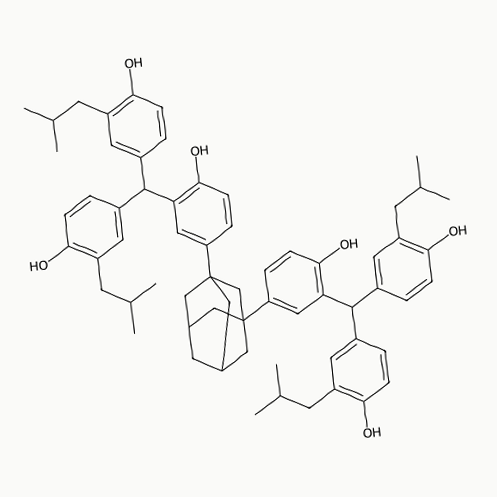 CC(C)Cc1cc(C(c2ccc(O)c(CC(C)C)c2)c2cc(C34CC5CC(C3)CC(c3ccc(O)c(C(c6ccc(O)c(CC(C)C)c6)c6ccc(O)c(CC(C)C)c6)c3)(C5)C4)ccc2O)ccc1O